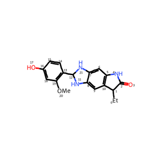 CCC1C(=O)Nc2cc3c(cc21)NC(c1ccc(O)cc1OC)N3